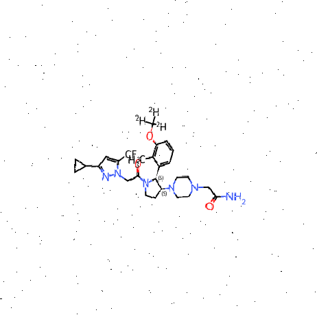 [2H]C([2H])([2H])Oc1cccc([C@H]2[C@@H](N3CCN(CC(N)=O)CC3)CCN2C(=O)Cn2nc(C3CC3)cc2C(F)(F)F)c1C